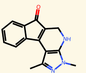 Cc1nn(C)c2c1C1=C(CN2)C(=O)c2ccccc21